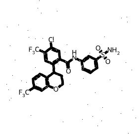 NS(=O)(=O)c1cccc(NC(=O)c2cc(Cl)c(C(F)(F)F)cc2C2CCOc3cc(C(F)(F)F)ccc32)c1